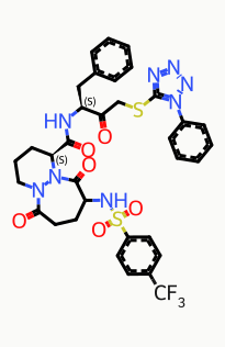 O=C(CSc1nnnn1-c1ccccc1)[C@H](Cc1ccccc1)NC(=O)[C@@H]1CCCN2C(=O)CCC(NS(=O)(=O)c3ccc(C(F)(F)F)cc3)C(=O)N12